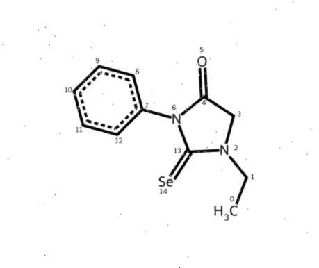 CCN1CC(=O)N(c2ccccc2)C1=[Se]